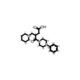 O=C(O)CC(CN1CCCCC1)C(=O)N1CCN(c2ccccc2)CC1